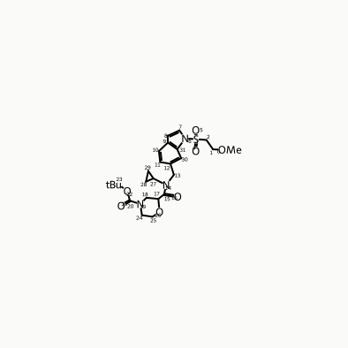 COCCS(=O)(=O)n1ccc2ccc(CN(C(=O)C3CN(C(=O)OC(C)(C)C)CCO3)C3CC3)cc21